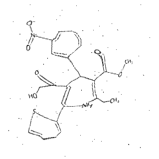 COC(=O)C1=C(C)NC(c2cccs2)=C(C(=O)O)C1c1cccc([N+](=O)[O-])c1